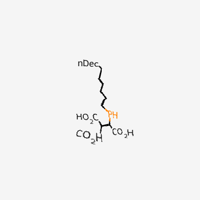 CCCCCCCCCCCCCCCCPC(C(=O)O)C(C(=O)O)C(=O)O